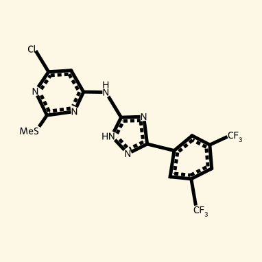 CSc1nc(Cl)cc(Nc2nc(-c3cc(C(F)(F)F)cc(C(F)(F)F)c3)n[nH]2)n1